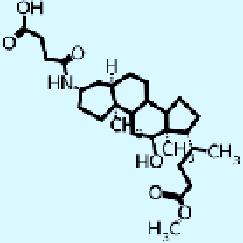 COC(=O)CCC(C)[C@H]1CCC2C3CC[C@@H]4C[C@@H](NC(=O)CCC(=O)O)CC[C@]4(C)C3C[C@H](O)[C@@]21C